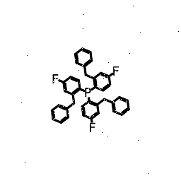 Fc1ccc(P(c2ccc(F)cc2Cc2ccccc2)c2ccc(F)cc2Cc2ccccc2)c(Cc2ccccc2)c1